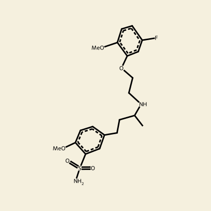 COc1ccc(F)cc1OCCNC(C)CCc1ccc(OC)c(S(N)(=O)=O)c1